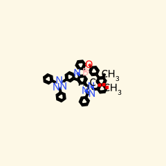 Cc1cc(C)c(-c2ccc3c(c2)B2c4c(cccc4-n4c5ccc(-c6nc(-c7ccccc7)nc(-c7ccccc7)n6)cc5c5cc(-c6nc(-c7ccccc7)nc(-c7ccccc7)n6)cc2c54)O3)c(C)c1